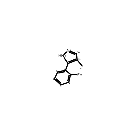 Fc1ccccc1-c1[nH]ncc1I